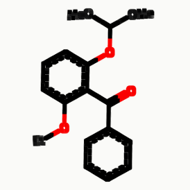 CCOc1cccc(OC(OC)OC)c1C(=O)c1ccccc1